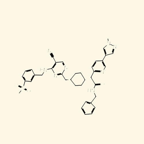 Cn1cc(-c2ccc(C(C(=O)NCc3ccccc3)[C@H]3CC[C@H](Cc4ncc(C#N)c(NCc5cccc(S(C)(=O)=O)c5)n4)CC3)nc2)cn1